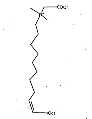 CCCCCCCC/C=C\CCCCCCCC[N+](C)(C)CC(=O)[O-]